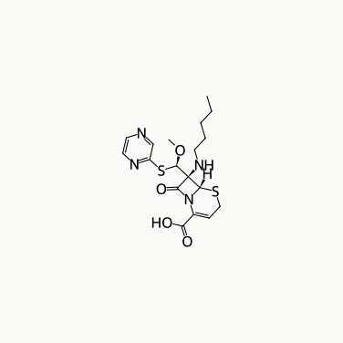 CCCCCN[C@]1([C@H](OC)Sc2cnccn2)C(=O)N2C(C(=O)O)=CCS[C@H]21